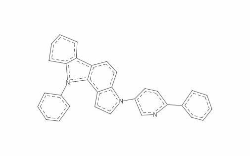 c1ccc(-c2ccc(-n3ccc4c3ccc3c5ccccc5n(-c5ccccc5)c34)cn2)cc1